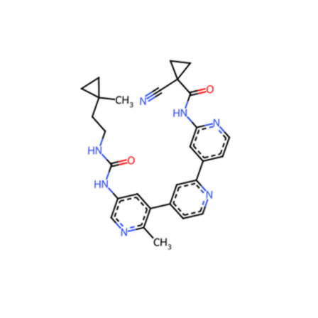 Cc1ncc(NC(=O)NCCC2(C)CC2)cc1-c1ccnc(-c2ccnc(NC(=O)C3(C#N)CC3)c2)c1